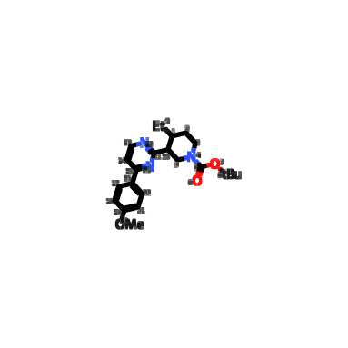 CCC1CCN(C(=O)OC(C)(C)C)CC1c1nccc(-c2ccc(OC)cc2)n1